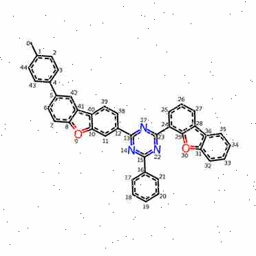 Cc1ccc(-c2ccc3oc4cc(-c5nc(-c6ccccc6)nc(-c6cccc7c6oc6ccccc67)n5)ccc4c3c2)cc1